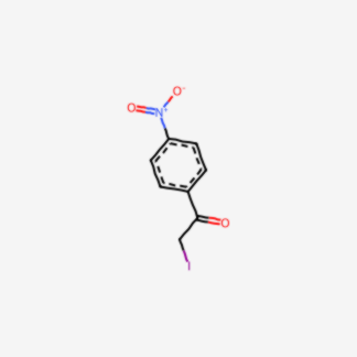 O=C(CI)c1ccc([N+](=O)[O-])cc1